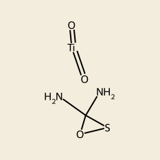 NC1(N)OS1.[O]=[Ti]=[O]